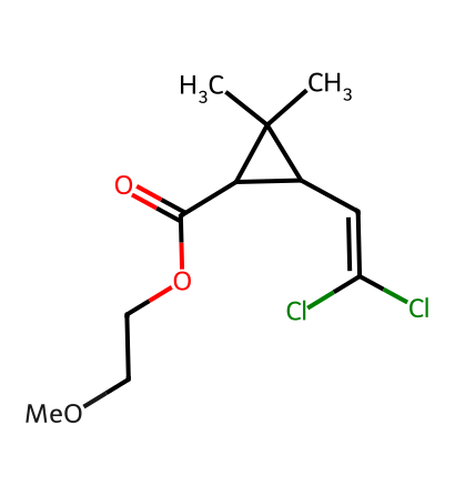 COCCOC(=O)C1C(C=C(Cl)Cl)C1(C)C